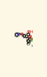 O=c1oc2cc(O)ccc2c(Cc2ccc(OCCN3CCCCCC3)cc2)c1-c1ccc(C(F)(F)F)cc1Cl